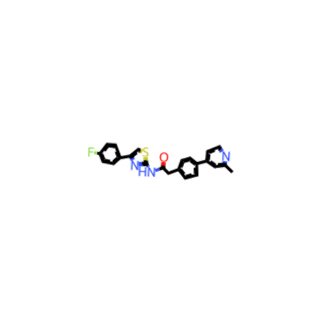 Cc1cc(-c2ccc(CC(=O)Nc3nc(-c4ccc(F)cc4)cs3)cc2)ccn1